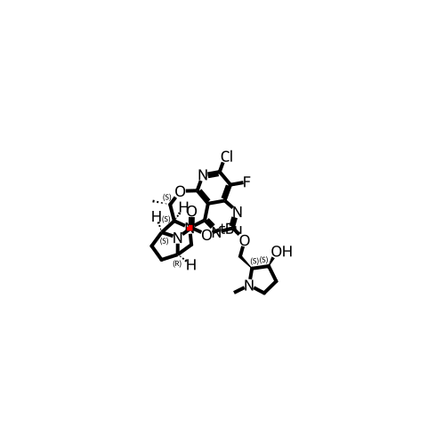 C[C@@H]1Oc2nc(Cl)c(F)c3nc(OC[C@H]4[C@@H](O)CCN4C)nc(c23)N2C[C@H]3CC[C@@H]([C@@H]12)N3C(=O)OC(C)(C)C